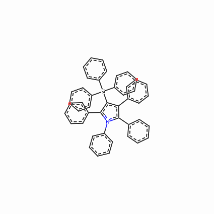 c1ccc(-c2c([Si](c3ccccc3)(c3ccccc3)c3ccccc3)c(-c3ccccc3)n(-c3ccccc3)c2-c2ccccc2)cc1